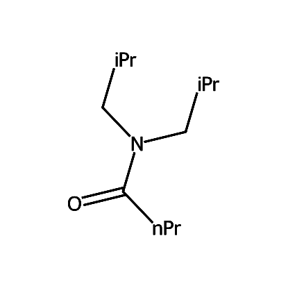 CCCC(=O)N(CC(C)C)CC(C)C